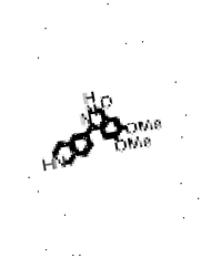 COc1cc2c(-c3ccc4c(c3)CCNC4)n[nH]c(=O)c2cc1OC